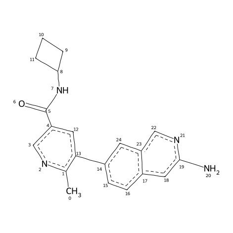 Cc1ncc(C(=O)NC2CCC2)cc1-c1ccc2cc(N)ncc2c1